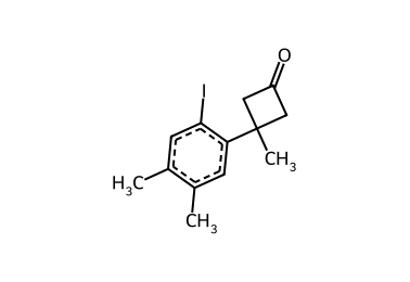 Cc1cc(I)c(C2(C)CC(=O)C2)cc1C